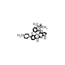 CN1CCN(c2ccc(Nc3nc(Nc4ccccc4N(C)S(C)(=O)=O)c4cc[nH]c4n3)c(F)c2F)CC1